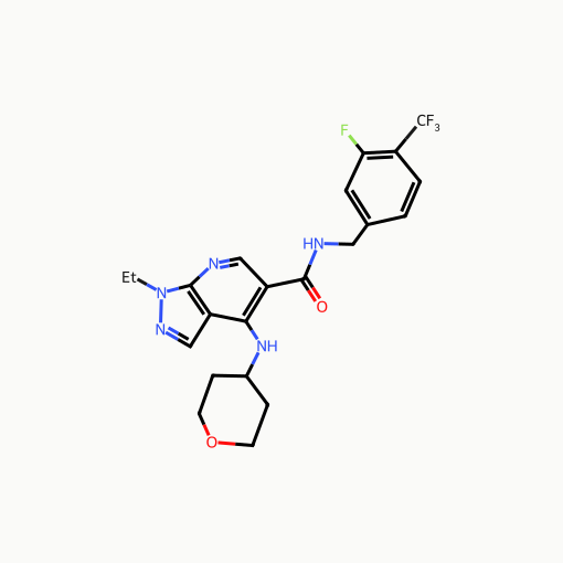 CCn1ncc2c(NC3CCOCC3)c(C(=O)NCc3ccc(C(F)(F)F)c(F)c3)cnc21